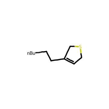 CCCCCCC1=CCSC1